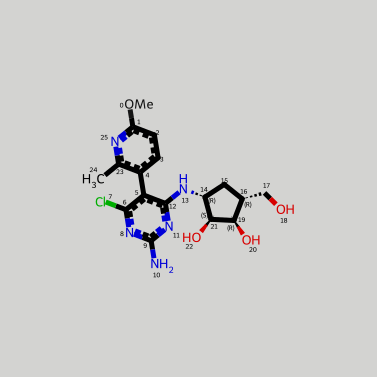 COc1ccc(-c2c(Cl)nc(N)nc2N[C@@H]2C[C@H](CO)[C@@H](O)[C@H]2O)c(C)n1